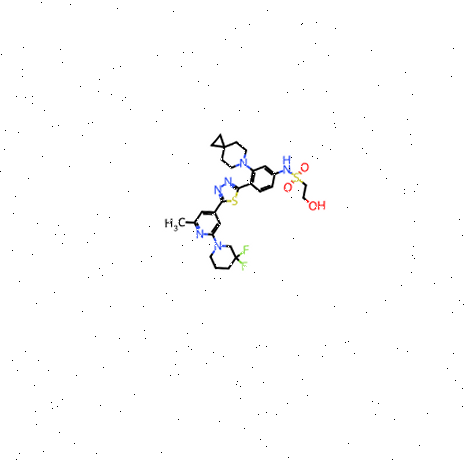 Cc1cc(-c2nnc(-c3ccc(NS(=O)(=O)CCO)cc3N3CCC4(CC3)CC4)s2)cc(N2CCCC(F)(F)C2)n1